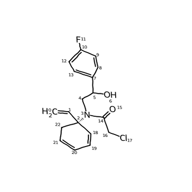 C=C[C@@]1(N(CC(O)c2ccc(F)cc2)C(=O)CCl)C=CC=CC1